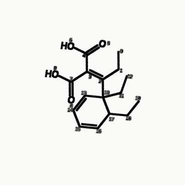 CCC(=C(C(=O)O)C(=O)O)C1(CC)C=CC=CC1CC